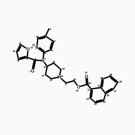 Cc1ccc(N(C(=O)c2ccco2)C2CCN(CCOC(=O)c3cccc4ccccc34)CC2)nc1